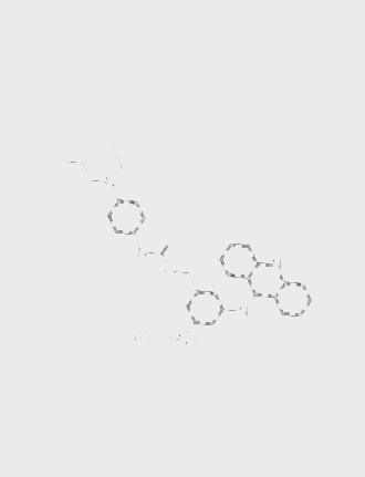 CCOC(=O)Nc1cc(COC(=O)Nc2ccc(N(CCCl)CCCl)cc2)cc(Nc2c3ccccc3nc3ccccc23)c1